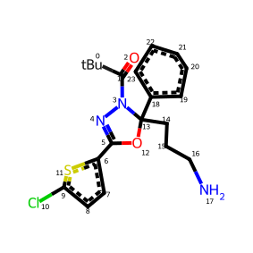 CC(C)(C)C(=O)N1N=C(c2ccc(Cl)s2)OC1(CCCN)c1ccccc1